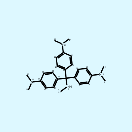 CN(C)c1ccc([C]([InH][Cl])(c2ccc(N(C)C)cc2)c2ccc(N(C)C)cc2)cc1